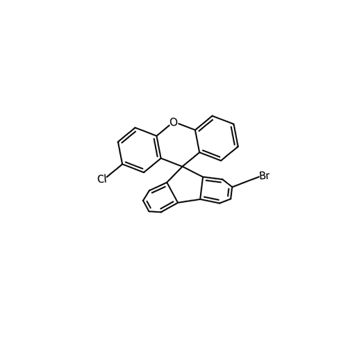 Clc1ccc2c(c1)C1(c3ccccc3O2)c2ccccc2-c2ccc(Br)cc21